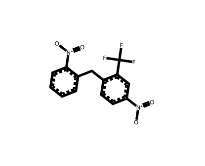 O=[N+]([O-])c1ccc(Cc2ccccc2[N+](=O)[O-])c(C(F)(F)F)c1